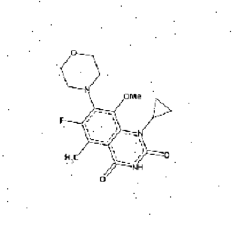 COc1c(N2CCOCC2)c(F)c(C)c2c(=O)[nH]c(=O)n(C3CC3)c12